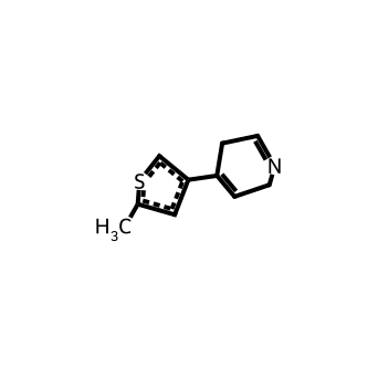 Cc1cc(C2=CCN=CC2)cs1